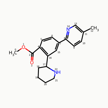 COC(=O)c1ccc(-c2ccc(C)cn2)cc1C1CCCCN1